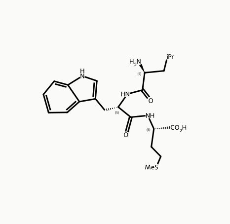 CSCC[C@H](NC(=O)[C@H](Cc1c[nH]c2ccccc12)NC(=O)[C@@H](N)CC(C)C)C(=O)O